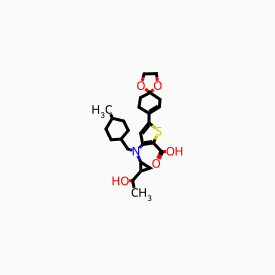 CC1CCC(CN(c2cc(C3=CCC4(CC3)OCCO4)sc2C(=O)O)C2CC2C(C)O)CC1